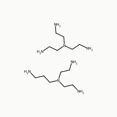 NCCCN(CCN)CCN.NCCN(CCN)CCN